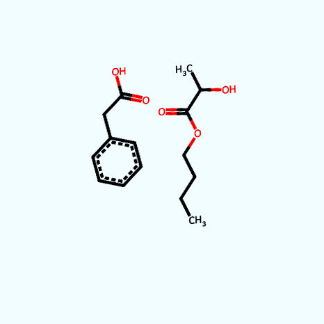 CCCCOC(=O)C(C)O.O=C(O)Cc1ccccc1